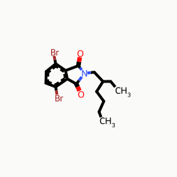 CCCCC(CC)CN1C(=O)c2c(Br)ccc(Br)c2C1=O